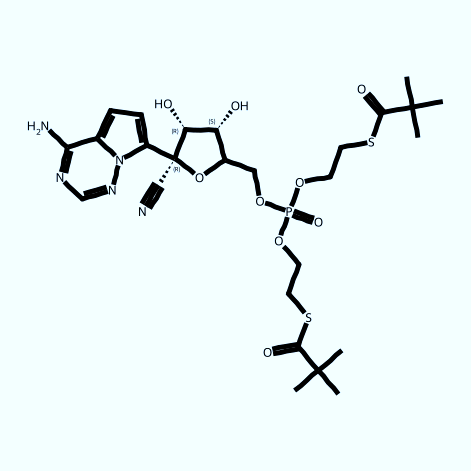 CC(C)(C)C(=O)SCCOP(=O)(OCCSC(=O)C(C)(C)C)OCC1O[C@@](C#N)(c2ccc3c(N)ncnn23)[C@H](O)[C@@H]1O